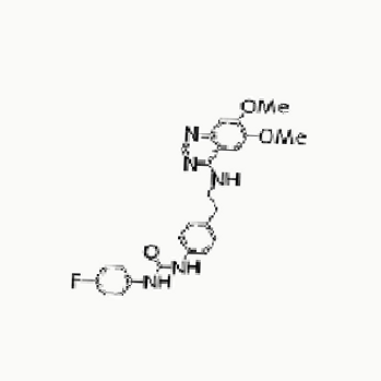 COc1cc2ncnc(NCCc3ccc(NC(=O)Nc4ccc(F)cc4)cc3)c2cc1OC